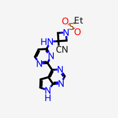 CCS(=O)(=O)N1CC(C#N)(Nc2ccnc(-c3ncnc4[nH]ccc34)n2)C1